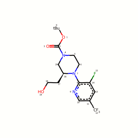 CC(C)(C)OC(=O)N1CCN(c2ncc(C(F)(F)F)cc2F)[C@@H](CCO)C1